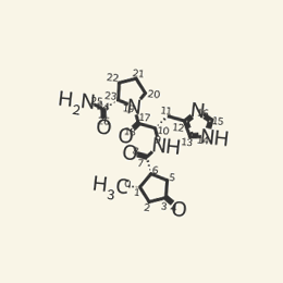 C[C@H]1CC(=O)C[C@H]1C(=O)N[C@@H](Cc1c[nH]cn1)C(=O)N1CCC[C@H]1C(N)=O